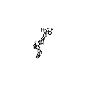 Cc1c(F)cccc1C(=O)N1CC2CN(c3ccc(-c4cc(OCCN5C6CCC5CC(=O)C6)cn5ncc(C#N)c45)cn3)CC2C1